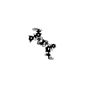 CC(C)(C)CC(C)(C)c1ccc(OP2OCC3(CO2)COP(Oc2ccc(C(C)(C)CC(C)(C)C)cc2C(C)(C)c2ccccc2)OC3)c(C(C)(C)c2ccccc2)c1